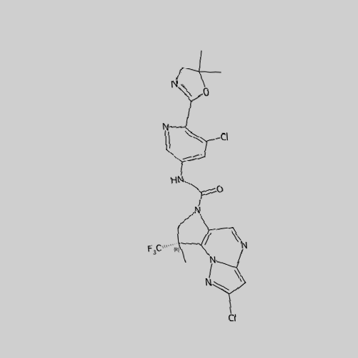 CC1(C)CN=C(c2ncc(NC(=O)N3C[C@@](C)(C(F)(F)F)c4c3cnc3cc(Cl)nn43)cc2Cl)O1